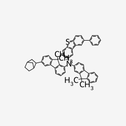 CC1(C)c2ccccc2-c2ccc(N(c3ccc4sc5ccc(-c6ccccc6)cc5c4c3)c3cccc4c3C(C)(C)c3ccc(C5CC6CCC5C6)cc3-4)cc21